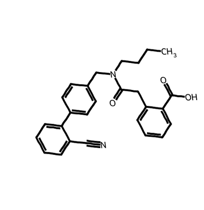 CCCCN(Cc1ccc(-c2ccccc2C#N)cc1)C(=O)Cc1ccccc1C(=O)O